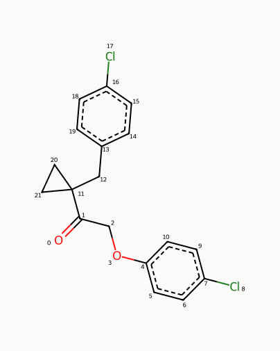 O=C(COc1ccc(Cl)cc1)C1(Cc2ccc(Cl)cc2)CC1